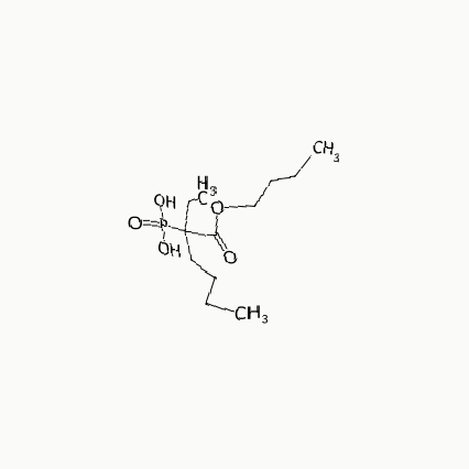 CCCCOC(=O)C(CC)(CCCC)P(=O)(O)O